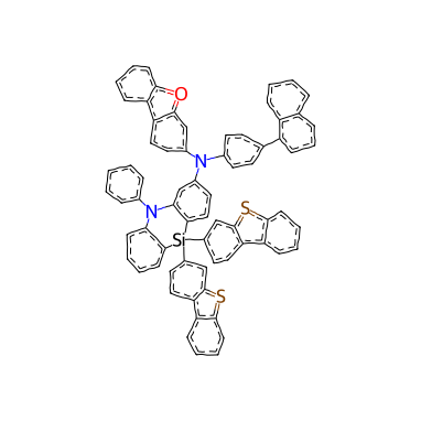 c1ccc(N2c3ccccc3[Si](c3ccc4c(c3)sc3ccccc34)(c3ccc4c(c3)sc3ccccc34)c3ccc(N(c4ccc(-c5cccc6ccccc56)cc4)c4ccc5c(c4)oc4ccccc45)cc32)cc1